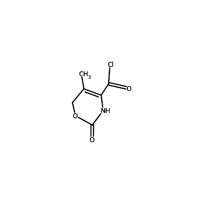 CC1=C(C(=O)Cl)NC(=O)OC1